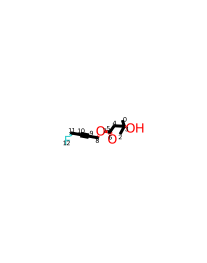 CC(C)(O)CC(=O)OCC#CCF